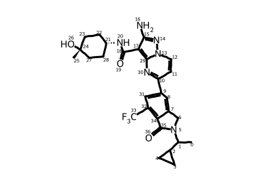 CC(C1CC1)N1Cc2cc(-c3ccn4nc(N)c(C(=O)N[C@H]5CC[C@@](C)(O)CC5)c4n3)cc(C(F)(F)F)c2C1=O